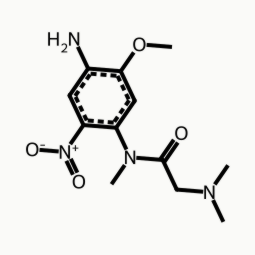 COc1cc(N(C)C(=O)CN(C)C)c([N+](=O)[O-])cc1N